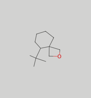 CC(C)(C)C1CCCCC12COC2